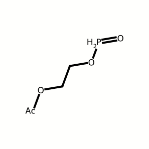 CC(=O)OCCO[PH2]=O